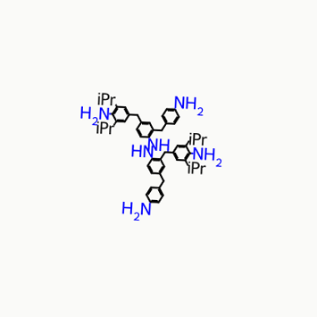 CC(C)c1cc(Cc2ccc(NNc3ccc(Cc4ccc(N)cc4)cc3Cc3cc(C(C)C)c(N)c(C(C)C)c3)c(Cc3ccc(N)cc3)c2)cc(C(C)C)c1N